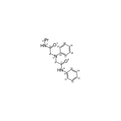 CC(C)NC(=O)CN(CC(=O)Nc1ccccc1)c1ccccc1